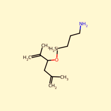 C=C(C)CC(O[SiH2]CCCN)C(=C)C